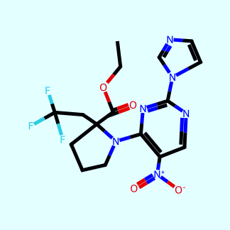 CCOC(=O)C1(CC(F)(F)F)CCCN1c1nc(-n2ccnc2)ncc1[N+](=O)[O-]